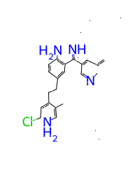 C=C/C=C(\C=N/C)C(=N)c1cc(CCC(=C/CCl)/C(C)=C\N)ccc1N